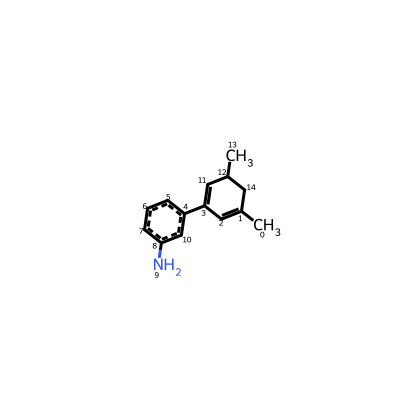 CC1=CC(c2cccc(N)c2)=CC(C)C1